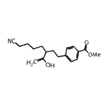 C=C(O)C(CCCCC#N)CCc1ccc(C(=O)OC)cc1